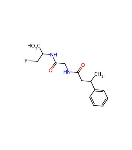 CC(C)CC(NC(=O)CNC(=O)CC(C)c1ccccc1)C(=O)O